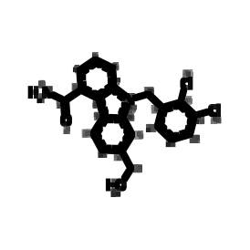 NC(=O)c1cccc2c1c1[c]cc(CO)cc1n2Cc1cccc(Cl)c1Cl